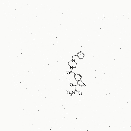 NC(=O)C(=O)c1csc2ccc(C(=O)N3CCN(Cc4ccccc4)CC3)cc12